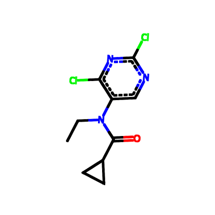 CCN(C(=O)C1CC1)c1cnc(Cl)nc1Cl